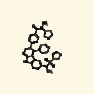 CN(C(=O)c1ccc(-c2cnc3[nH]c4ccc(N(C)S(=O)(=O)c5ccsc5)cc4c3c2-c2ccncc2)cc1)C1CCOC1